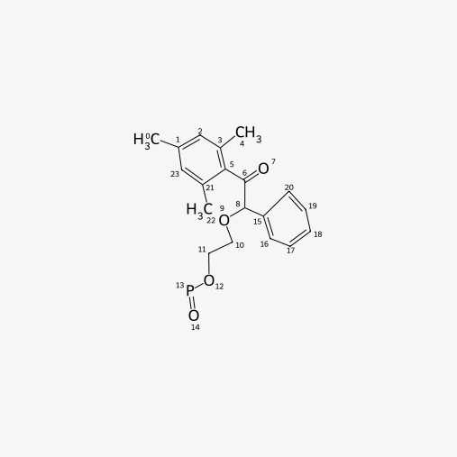 Cc1cc(C)c(C(=O)C(OCCOP=O)c2ccccc2)c(C)c1